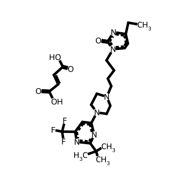 CCc1ccn(CCCCN2CCN(c3cc(C(F)(F)F)nc(C(C)(C)C)n3)CC2)c(=O)n1.O=C(O)C=CC(=O)O